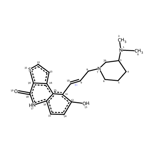 CN(C)C1CCCN(C/C=C/c2c(O)ccc3[nH]c(=O)c4sccc4c23)C1